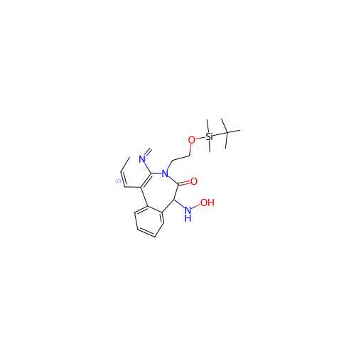 C=NC1=C(/C=C\C)c2ccccc2C(NO)C(=O)N1CCO[Si](C)(C)C(C)(C)C